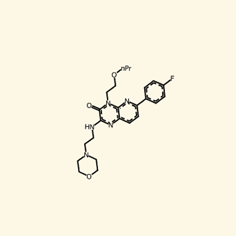 CCCOCCn1c(=O)c(NCCN2CCOCC2)nc2ccc(-c3ccc(F)cc3)nc21